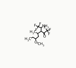 CCC(CC(C)C(C(=O)C(F)(F)F)C(N)C(F)(F)F)OC